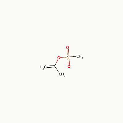 C=C(C)OS(C)(=O)=O